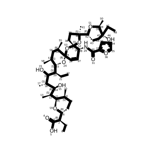 CC[C@@H](C(=O)O)[C@H]1CC[C@H](C)[C@H]([C@@H](C)[C@H](O)[C@H](C)C(O)[C@H](CC)[C@H]2O[C@]3(C=C[C@@H](NC(=O)c4ccco4)[C@]4(CC[C@@](C)([C@H]5CC[C@](O)(CC)[C@H](C)O5)O4)O3)[C@H](C)C[C@@H]2C)O1